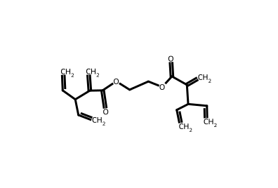 C=CC(C=C)C(=C)C(=O)OCCOC(=O)C(=C)C(C=C)C=C